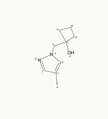 OC1(Cn2cc(I)cn2)CCC1